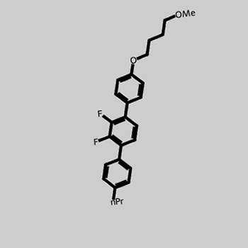 CCCc1ccc(-c2ccc(-c3ccc(OCCCCOC)cc3)c(F)c2F)cc1